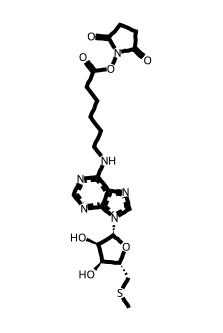 CSC[C@H]1O[C@@H](n2cnc3c(NCCCCCC(=O)ON4C(=O)CCC4=O)ncnc32)[C@H](O)[C@@H]1O